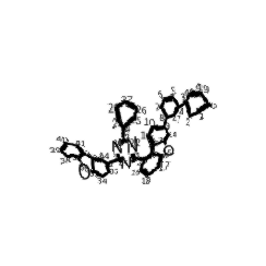 c1ccc(-c2cccc(-c3ccc4c(c3)oc3cccc(-c5nc(-c6ccccc6)nc(-c6ccc7oc8ccccc8c7c6)n5)c34)c2)cc1